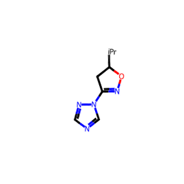 CC(C)C1CC(n2cncn2)=NO1